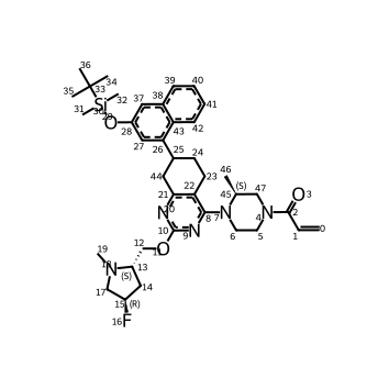 C=CC(=O)N1CCN(c2nc(OC[C@@H]3C[C@@H](F)CN3C)nc3c2CCC(c2cc(O[Si](C)(C)C(C)(C)C)cc4ccccc24)C3)[C@@H](C)C1